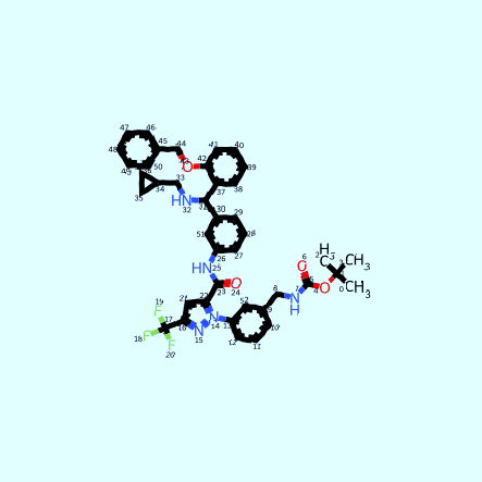 CC(C)(C)OC(=O)NCc1cccc(-n2nc(C(F)(F)F)cc2C(=O)Nc2cccc(C(NCC3CC3)c3ccccc3OCc3ccccc3)c2)c1